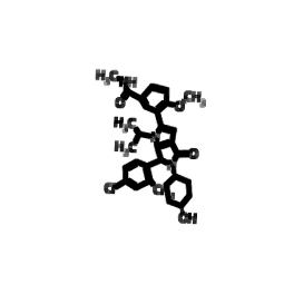 CNC(=O)c1ccc(OC)c(-c2cc3c(n2C(C)C)C(c2ccc(Cl)cc2C)N([C@H]2CC[C@H](O)CC2)C3=O)c1